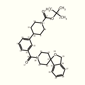 CC(C)(C)OC(=O)N1CCC(c2cccc(C(=O)N3CCC4(CC3)OCc3ccccc34)c2)CC1